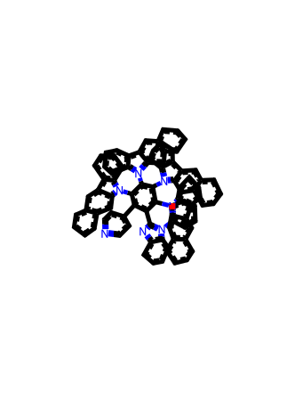 c1ccc(-n2c(-c3c(-c4ccncc4)c(-n4c5ccccc5c5cc6ccccc6cc54)c(-n4c5ccccc5c5cc6ccccc6cc54)c(-n4c5ccccc5c5cc6ccccc6cc54)c3-n3c4ccccc4c4cc5ccccc5cc43)nc3ccccc32)cc1